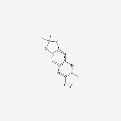 Cc1nc2cc3c(cc2nc1C(=O)O)OC(C)(C)O3